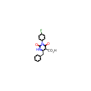 O=C(O)c1c(Cc2ccccc2)[nH]c(=O)n(-c2ccc(F)cc2)c1=O